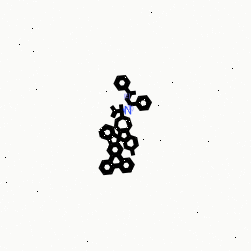 C=C(C)C(C)(/N=C(\C=C(/C)c1ccccc1)c1ccccc1)C1C=CC2=C(CC1)C1(C3=C2C=CC(C)C3)c2ccc#cc2-c2cc3c4ccccc4c4ccccc4c3cc21